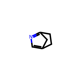 C1=C2CCC(=N1)C2